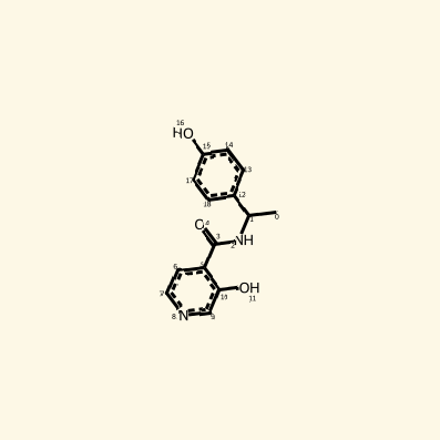 CC(NC(=O)c1ccncc1O)c1ccc(O)cc1